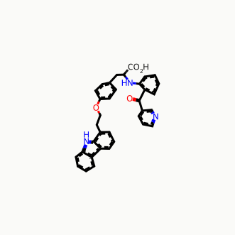 O=C(c1cccnc1)c1ccccc1NC(Cc1ccc(OCCc2cccc3c2[nH]c2ccccc23)cc1)C(=O)O